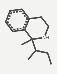 CCC(C)C1(C)NCCc2ccccc21